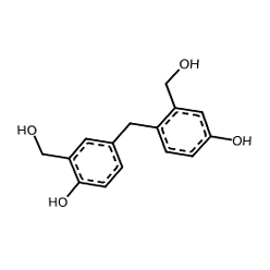 OCc1cc(Cc2ccc(O)cc2CO)ccc1O